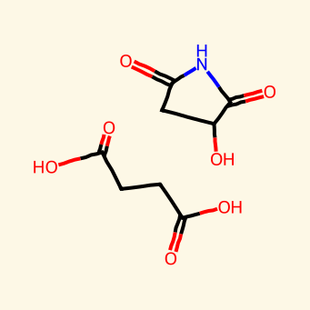 O=C(O)CCC(=O)O.O=C1CC(O)C(=O)N1